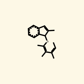 CC=C(C)C(C)=[C](C)[Zr][CH]1C(C)=Cc2ccccc21